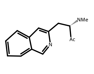 CN[C@@H](Cc1cc2ccccc2cn1)C(C)=O